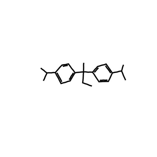 CCC(C)(c1ccc(C(C)C)cc1)c1ccc(C(C)C)cc1